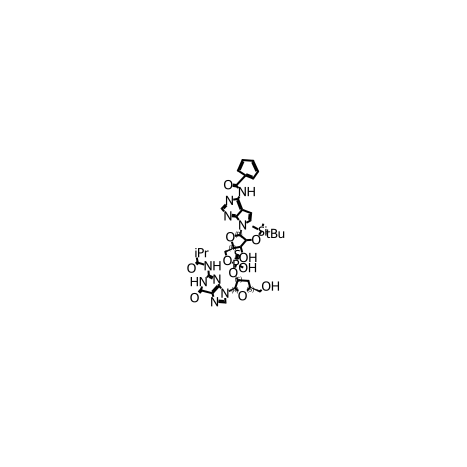 CC(C)C(=O)Nc1nc2c(ncn2[C@@H]2O[C@H](CO)C[C@@H]2OP(O)(=S)OC[C@H]2O[C@@H](n3ccc4c(NC(=O)c5ccccc5)ncnc43)C(O[Si](C)(C)C(C)(C)C)C2O)c(=O)[nH]1